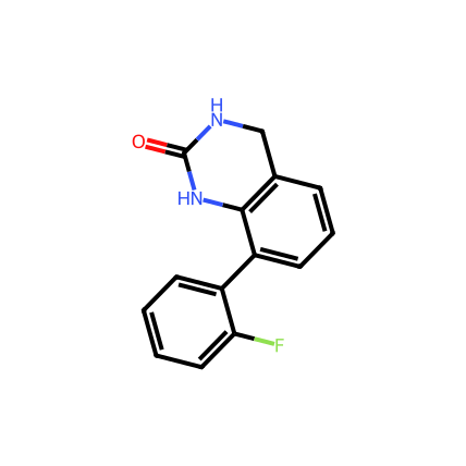 O=C1NCc2cccc(-c3ccccc3F)c2N1